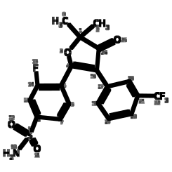 CC1(C)OC(c2ccc(S(N)(=O)=O)cc2F)=C(c2cccc(C(F)(F)F)c2)C1=O